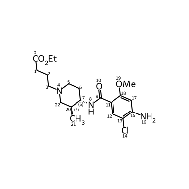 CCOC(=O)CCCN1CC[C@H](NC(=O)c2cc(Cl)c(N)cc2OC)[C@@H](C)C1